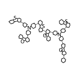 c1ccc(-c2ccc3c(c2)oc2cc(-c4ccc(N(c5ccc(-c6cccc7sc8ccccc8c67)cc5)c5ccc(-c6ccc(-c7cccc8c7sc7cccc(-c9ccc(N(c%10ccc(-c%11ccc%12sc%13ccccc%13c%12c%11)cc%10)c%10ccc(-c%11cccc%12oc%13ccccc%13c%11%12)cc%10)cc9)c78)c7oc8ccccc8c67)cc5)cc4)ccc23)cc1